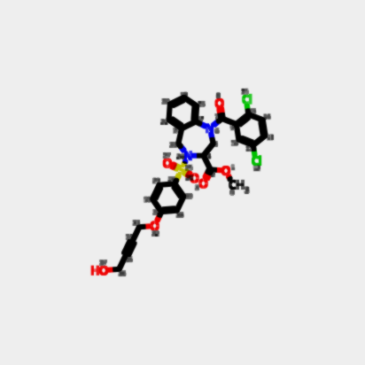 COC(=O)C1CN(C(=O)c2cc(Cl)ccc2Cl)c2ccccc2CN1S(=O)(=O)c1ccc(OCC#CCO)cc1